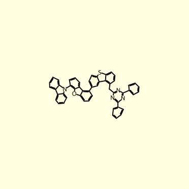 c1ccc(-c2nc(Cc3cccc4sc5ccc(-c6cccc7oc8c(-n9c%10ccccc%10c%10ccccc%109)cccc8c67)cc5c34)nc(-c3ccccc3)n2)cc1